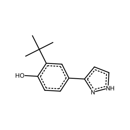 CC(C)(C)c1cc(-c2cc[nH]n2)ccc1O